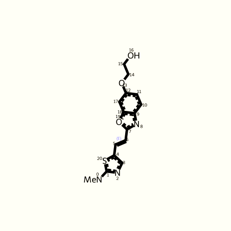 CNc1ncc(/C=C/c2nc3ccc(OCCO)cc3o2)s1